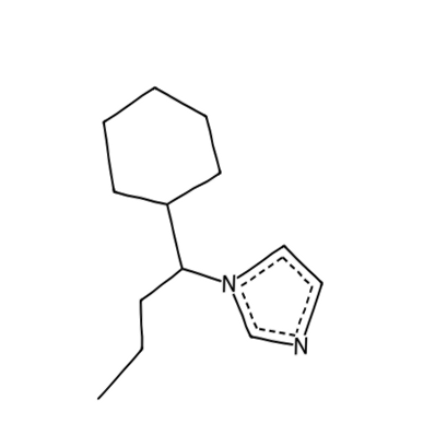 CCCC(C1CCCCC1)n1ccnc1